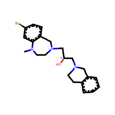 CN1CCN(C[C@H](O)CN2CCc3ccccc3C2)Cc2ccc(Br)cc21